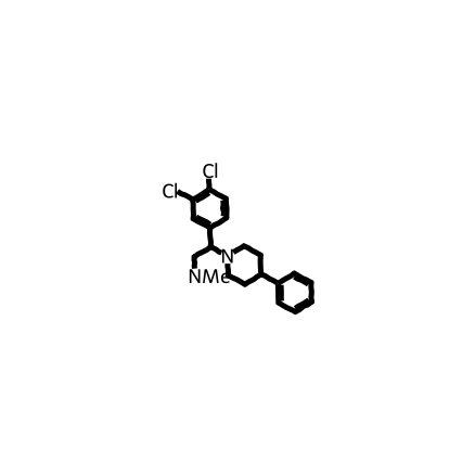 CNCC(c1ccc(Cl)c(Cl)c1)N1CCC(c2ccccc2)CC1